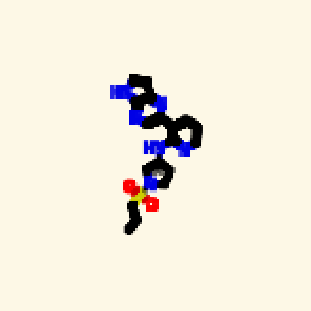 CCCS(=O)(=O)N1CC[C@@H](Nc2ncccc2-c2cnc3[nH]ccc3n2)C1